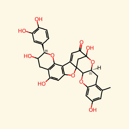 Cc1cc(O)cc2c1C[C@@H]1OC3(O)CC4(Oc5cc(O)c6c(c5C4=CC3=O)O[C@H](c3ccc(O)c(O)c3)C(O)C6)C1O2